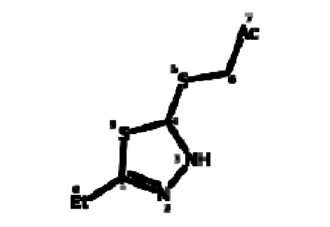 CCC1=NNC(SCC(C)=O)S1